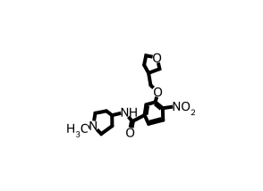 CN1CCC(NC(=O)c2ccc([N+](=O)[O-])c(OCC3CCOC3)c2)CC1